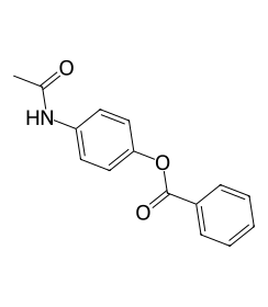 CC(=O)Nc1ccc(OC(=O)c2ccccc2)cc1